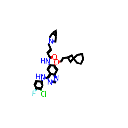 O=C(/C=C/CN1CC2CC2C1)Nc1cc2c(Nc3ccc(F)c(Cl)c3)ncnc2cc1OCCC1CC2(CCCCC2)C1